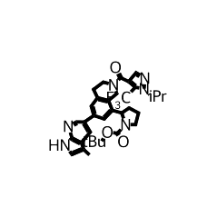 Cc1c[nH]c2ncc(-c3cc4c(c(C5CCCN5C(=O)OC(C)(C)C)c3)CN(C(=O)c3cnn(C(C)C)c3C(F)(F)F)CC4)cc12